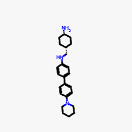 N[C@H]1CC[C@H](CNc2ccc(-c3ccc(N4CCCCC4)cc3)cc2)CC1